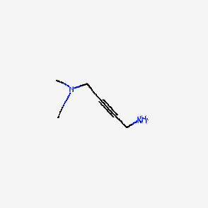 CN(C)CC#CC[NH]